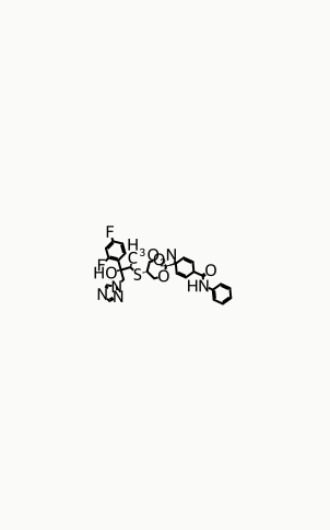 C[C@@H](S[C@H]1CO[C@H](C2([N+](=O)[O-])C=CC(C(=O)Nc3ccccc3)C=C2)OC1)[C@](O)(Cn1cncn1)c1ccc(F)cc1F